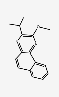 COc1nc2c(ccc3ccccc32)nc1C(C)C